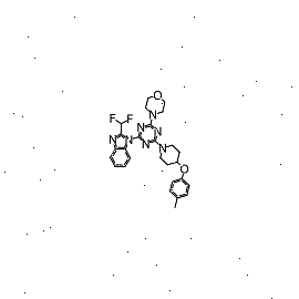 Cc1ccc(OC2CCN(c3nc(N4CCOCC4)nc(-n4c(C(F)F)nc5ccccc54)n3)CC2)cc1